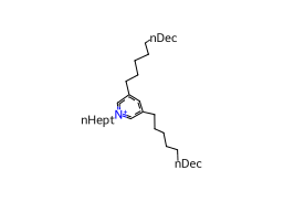 CCCCCCCCCCCCCCCc1cc(CCCCCCCCCCCCCCC)c[n+](CCCCCCC)c1